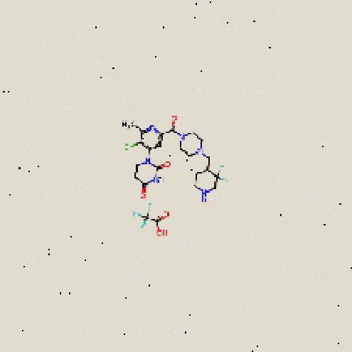 Cc1nc(C(=O)N2CCN(CC3CCNCC3(F)F)CC2)cc(N2CCC(=O)NC2=O)c1Cl.O=C(O)C(F)(F)F